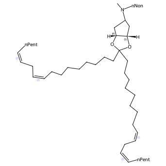 CCCCC/C=C\C/C=C\CCCCCCCCC1(CCCCCCCC/C=C\C/C=C\CCCCC)O[C@H]2CC(N(C)CCCCCCCCC)C[C@H]2O1